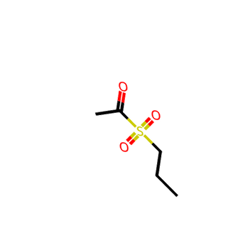 CCCS(=O)(=O)C(C)=O